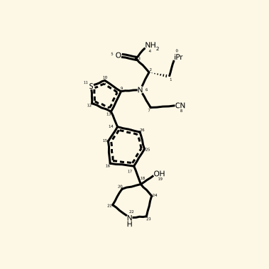 CC(C)C[C@@H](C(N)=O)N(CC#N)c1cscc1-c1ccc(C2(O)CCNCC2)cc1